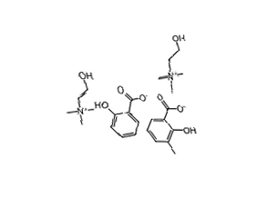 C[N+](C)(C)CCO.C[N+](C)(C)CCO.Cc1cccc(C(=O)[O-])c1O.O=C([O-])c1ccccc1O